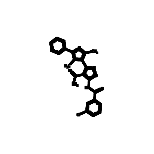 Cc1nn(-c2ccccc2)c(C)c1-c1noc(NC(=O)c2cccc(Cl)c2)c1C(N)=O